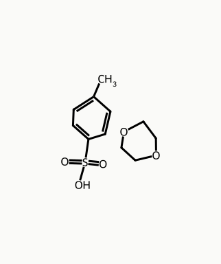 C1COCCO1.Cc1ccc(S(=O)(=O)O)cc1